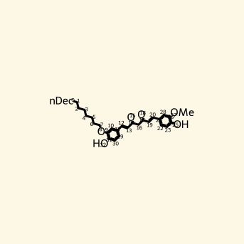 CCCCCCCCCCCCCCCCCOc1cc(/C=C/C(=O)CC(=O)/C=C/c2ccc(O)c(OC)c2)ccc1O